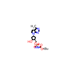 Cc1ncnc2c1ccn2[C@@H]1C[C@@H](COS(=O)(=O)NC(=O)OC(C)(C)C)[C@@H](O)C1